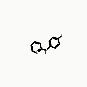 Fc1ccc(Nc2[c]cccn2)cc1